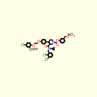 COc1cc(Cl)ccc1OCCOc1ccc(C2=C(C(=O)N(Cc3cccc(Cl)c3Cl)C3CC3)CN(C(=O)Oc3cccc(CO[N+](=O)[O-])c3)CC2)cc1